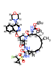 C[C@@H]1CC/C=C\[C@@H]2C[C@@]2(C(=O)NS(=O)(=O)C2(CF)CC2)NC(=O)[C@@H]2C[C@@H](Oc3ncc(N4CCOCC4)c4ccccc34)CN2C(=O)[C@@H](NC(=O)OC(C)(C)C)[C@H](C)C1